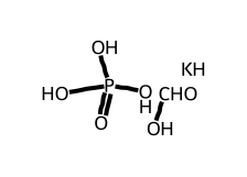 O=CO.O=P(O)(O)O.[KH]